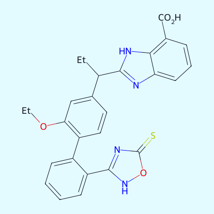 CCOc1cc(C(CC)c2nc3cccc(C(=O)O)c3[nH]2)ccc1-c1ccccc1-c1nc(=S)o[nH]1